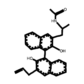 C=CCc1cc2ccccc2c(-c2c(O)c(CC(C)NC(C)=O)cc3ccccc23)c1O